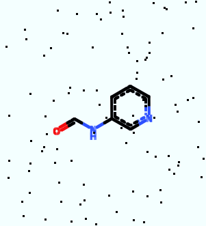 O=CNc1cccnc1